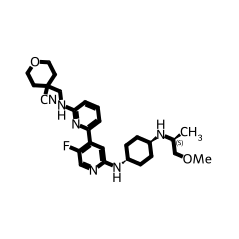 COC[C@H](C)N[C@H]1CC[C@H](Nc2cc(-c3cccc(NCC4(C#N)CCOCC4)n3)c(F)cn2)CC1